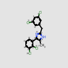 Cc1[nH]c(Cc2cc(Cl)cc(Cl)c2)nc1-c1cccc(Cl)c1Cl